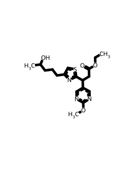 CCOC(=O)CC(c1cnc(OC)nc1)c1nc(CCCC(C)O)cs1